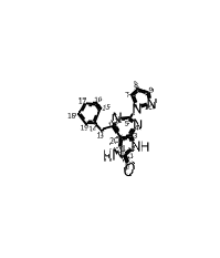 O=c1[nH]c2nc(-n3cccn3)nc(Cc3ccccc3)c2[nH]1